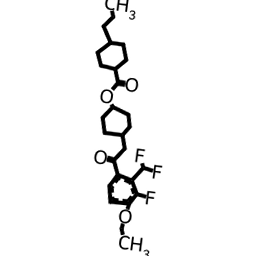 CCCC1CCC(C(=O)OC2CCC(CC(=O)c3ccc(OCC)c(F)c3C(F)F)CC2)CC1